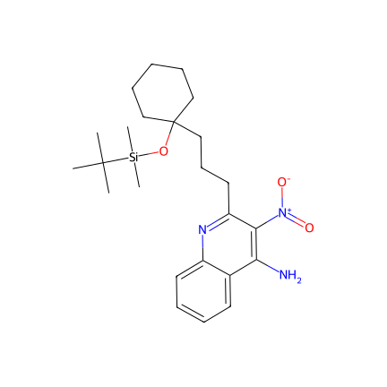 CC(C)(C)[Si](C)(C)OC1(CCCc2nc3ccccc3c(N)c2[N+](=O)[O-])CCCCC1